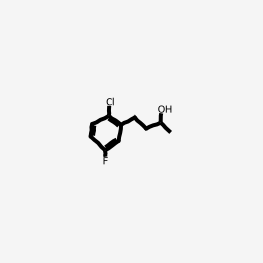 CC(O)C[CH]c1cc(F)ccc1Cl